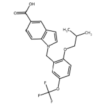 CC(C)COc1ccc(OC(F)(F)F)cc1Cn1ccc2cc(C(=O)O)ccc21